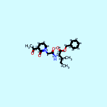 CC[C@H](C)[C@H](NC(=O)Cn1cccc(C(C)=O)c1=O)C(=O)OCc1ccccc1